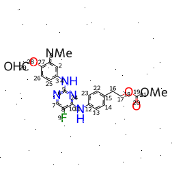 CNc1cc(Nc2ncc(F)c(Nc3ccc(CCOC(=O)OC)cc3)n2)ccc1OC=O